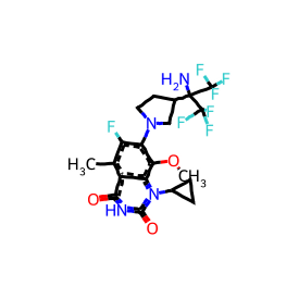 COc1c(N2CCC(C(N)(C(F)(F)F)C(F)(F)F)C2)c(F)c(C)c2c(=O)[nH]c(=O)n(C3CC3)c12